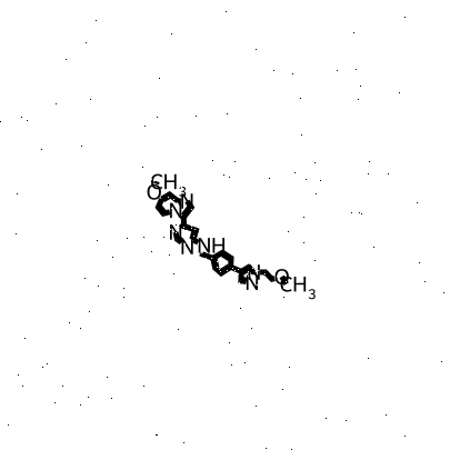 COCCn1cc(-c2ccc(CNc3cc(-c4cnc5cc(OC)ccn45)ncn3)cc2)cn1